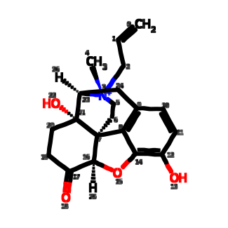 C=CC[N@+]1(C)CC[C@]23c4c5ccc(O)c4O[C@H]2C(=O)CC[C@@]3(O)[C@H]1C5